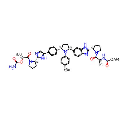 CCC(C)[C@H](OC(N)=O)C(=O)N1CCC[C@H]1c1ncc(-c2ccc([C@@H]3CC[C@@H](c4ccc5nc([C@@H]6CCCN6C(=O)[C@@H](NC(=O)OC)C(C)C)[nH]c5c4)N3c3ccc(C(C)(C)C)cc3)cc2)[nH]1